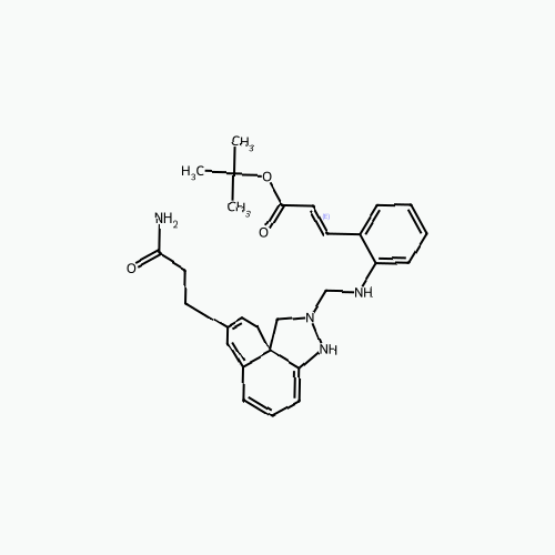 CC(C)(C)OC(=O)/C=C/c1ccccc1NCN1CC23CC=C(CCC(N)=O)C=C2C=CC=C3N1